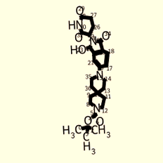 CC(C)(C)OC(=O)N1CCC2(CC1)CCN(c1ccc3c(c1)C(O)N(C1CCC(=O)NC1=O)C3=O)CC2